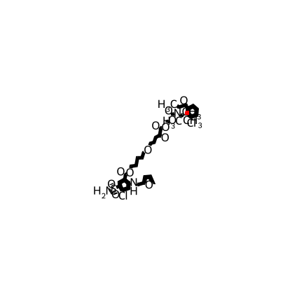 CC(C(=O)c1cccc(Cl)c1)N(C(=O)OCOC(=O)C(=O)CCCOCCCCCOC(=O)c1cc(S(N)(=O)=O)c(Cl)cc1NCc1ccco1)C(C)(C)C